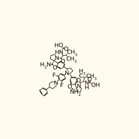 CC(C)[C@H](NC(=O)O)C(=O)N1CCC[C@@]1(C(N)=O)c1ccc(C2CC[C@@H](c3ccc([C@]4(C(N)=O)CCCN4C(=O)[C@@H](NC(=O)O)C(C)C)cc3)N2c2cc(F)c(N3CCC(c4ccccc4)CC3)c(F)c2)cc1